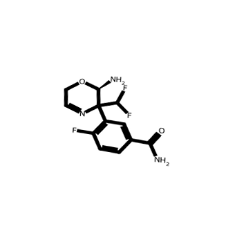 NC(=O)c1ccc(F)c(C2(C(F)F)N=CCO[C@H]2N)c1